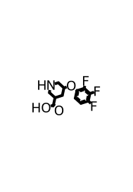 O=C(O)C1CNCC(Oc2ccc(F)c(F)c2F)C1